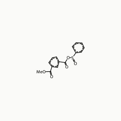 COC(=O)c1cccc(C(=O)OS(=O)c2ccccc2)c1